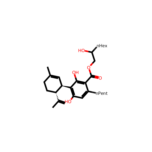 C=C(C)[C@@H]1CCC(C)=C[C@H]1c1c(O)cc(CCCCC)c(C(=O)OCC(O)CCCCCC)c1O